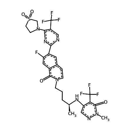 C[C@@H](CCCn1ccc2cc(-c3ncc(C(F)(F)F)c(N4CCS(=O)(=O)C4)n3)c(F)cc2c1=O)Nc1cnn(C)c(=O)c1C(F)(F)F